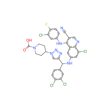 N#Cc1cnc2c(Cl)cc(NC(c3ccc(Cl)c(Cl)c3)c3cn(C4CCN(C(=O)O)CC4)nn3)cc2c1Nc1ccc(F)c(Cl)c1